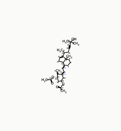 C=C1/C(=C\C=C2/CCC[C@]3(C)C(C(C)CC#CC(C)(C)O)=CCC23)CC(OC(C)=O)C[C@@H]1OC(C)=O